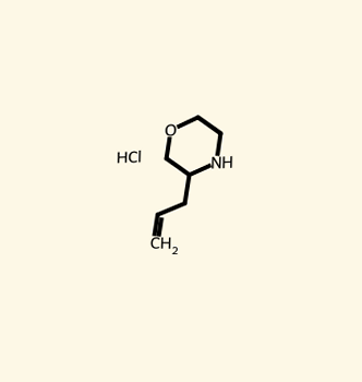 C=CCC1COCCN1.Cl